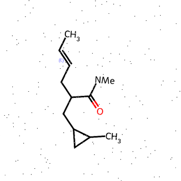 C/C=C/CC(CC1CC1C)C(=O)NC